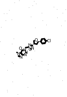 Cn1cnc2nnn(Cc3nc([C@@H]4CO[C@@H](c5ccc(Cl)cc5)C4)no3)c(=O)c21